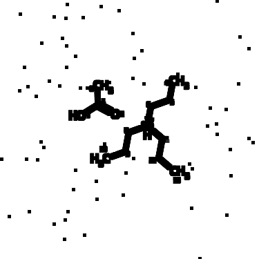 CC(=O)O.CC[CH2][SnH]([CH2]CC)[CH2]CC